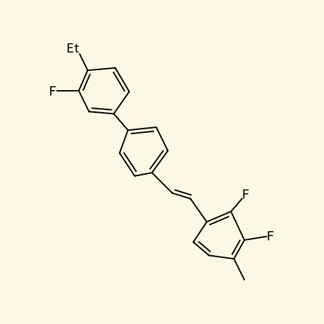 CCc1ccc(-c2ccc(/C=C/c3ccc(C)c(F)c3F)cc2)cc1F